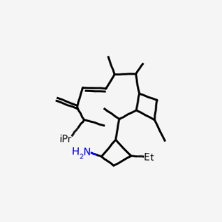 C=C(C=CC(C)C(C)C1CC(C)C1C(C)C1C(N)CC1CC)C(C)C(C)C